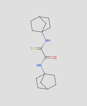 O=C(NC12CCC(CC1)C2)C(=S)NC12CCC(CC1)C2